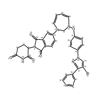 O=C1CCC(N2C(=O)c3ccc(N4C=CC=CN(Oc5ccc(-n6cc(Br)c(-c7ccncc7)n6)cc5)C4)cc3C2=O)C(=O)N1